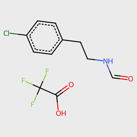 O=C(O)C(F)(F)F.O=CNCCc1ccc(Cl)cc1